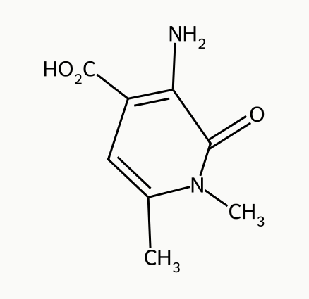 Cc1cc(C(=O)O)c(N)c(=O)n1C